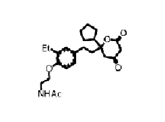 CCc1cc(CCC2(C3CCCC3)CC(=O)CC(=O)O2)ccc1OCCNC(C)=O